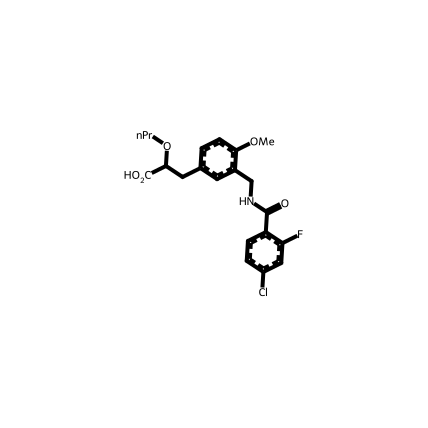 CCCOC(Cc1ccc(OC)c(CNC(=O)c2ccc(Cl)cc2F)c1)C(=O)O